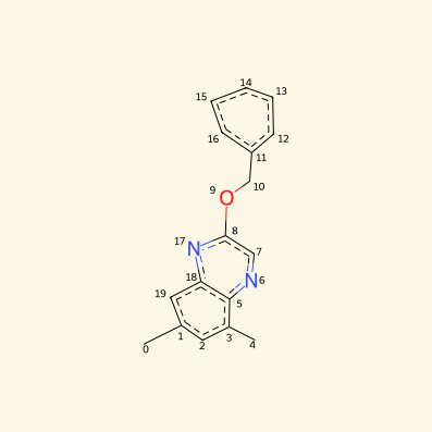 Cc1cc(C)c2ncc(OCc3ccccc3)nc2c1